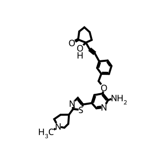 CN1CCC(c2ncc(-c3cnc(N)c(OCc4cccc(C#CC5(O)CCCCC5=O)c4)c3)s2)CC1